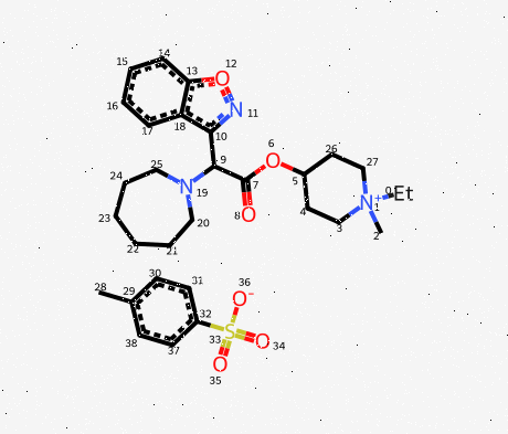 CC[N+]1(C)CCC(OC(=O)C(c2noc3ccccc23)N2CCCCCC2)CC1.Cc1ccc(S(=O)(=O)[O-])cc1